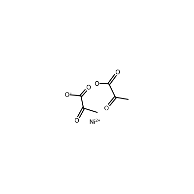 CC(=O)C(=O)[O-].CC(=O)C(=O)[O-].[Ni+2]